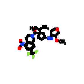 COC1COCCC1N[C@@H]1CC[C@@](C(=O)N2CCc3c(cc(C(F)(F)F)cc3[N+](=O)[O-])C2)(C(C)C)C1